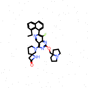 CCc1cccc2cccc(-c3ncc4c(N5CCCC6(CC(=O)N6)C5)nc(OCC56CCCN5CCC6)nc4c3F)c12